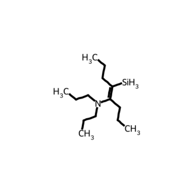 CCCC([SiH3])=C(CCC)N(CCC)CCC